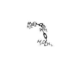 C=C(N)S/C(=C\C)c1ccc2cnc(NC(=S)c3ccc(CC(C)C)cc3)cc2c1